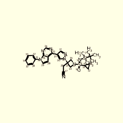 CC(C)(C)[Si](C)(C)N=S(=O)(C1CC1)N1CC(CC#N)(n2cc(-c3ncnc4c3ccn4-c3ccccc3)cn2)C1